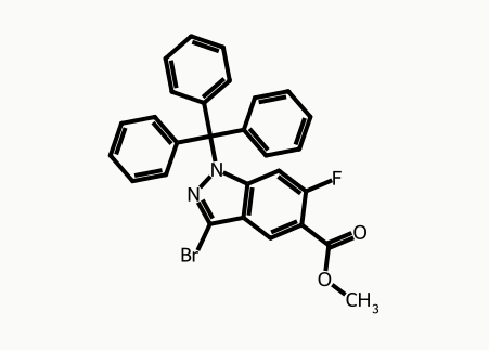 COC(=O)c1cc2c(Br)nn(C(c3ccccc3)(c3ccccc3)c3ccccc3)c2cc1F